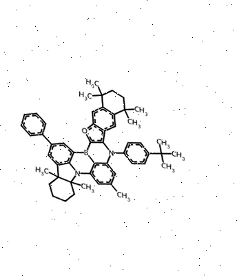 Cc1cc2c3c(c1)N1c4c(cc(-c5ccccc5)cc4C4(C)CCCCC14C)B3c1oc3cc4c(cc3c1N2c1ccc(C(C)(C)C)cc1)C(C)(C)CCC4(C)C